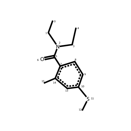 CCN(CC)C(=O)c1ccc(SC)cc1C